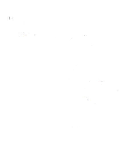 CCCN(C1=C(O)CC(CCc2ccc(NC(C)=O)cc2)(c2ccccc2)OC1=O)c1ccccc1